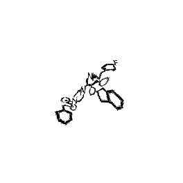 O=c1c(OC2Cc3ccccc3C2)c(N2CCN(S(=O)(=O)Cc3ccccc3)CC2)cnn1-c1ccc(F)cc1